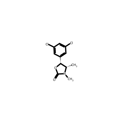 C[C@H]1[C@@H](c2cc(Cl)cc(Cl)c2)OC(=O)N1C